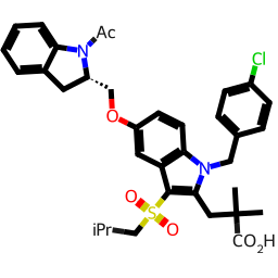 CC(=O)N1c2ccccc2C[C@H]1COc1ccc2c(c1)c(S(=O)(=O)CC(C)C)c(CC(C)(C)C(=O)O)n2Cc1ccc(Cl)cc1